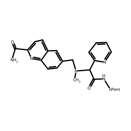 CCCCCNC(=O)C(c1ccccn1)N(C)Cc1ccc2nc(C(N)=O)ccc2c1